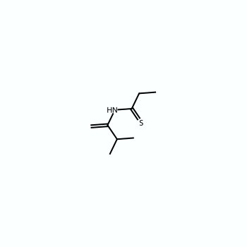 C=C(NC(=S)CC)C(C)C